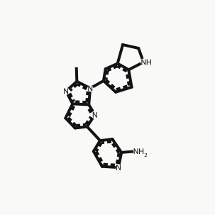 Cc1nc2ccc(-c3ccnc(N)c3)nc2n1-c1ccc2c(c1)CCN2